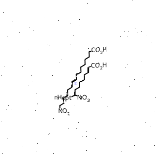 CCCCCCCC(CCCCCC=CC(=O)O)[N+](=O)[O-].O=C(O)CCCCCCC/C=C/CCCCCC[N+](=O)[O-]